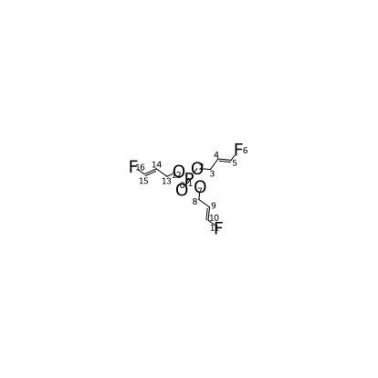 O=P(OCC=CF)(OCC=CF)OCC=CF